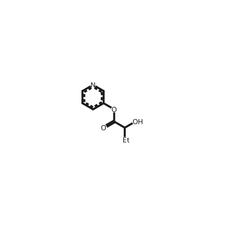 CCC(O)C(=O)Oc1cccnc1